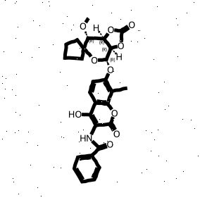 CO[C@@H]1[C@H]2OC(=O)O[C@H]2[C@H](Oc2ccc3c(O)c(NC(=O)c4ccccc4)c(=O)oc3c2C)OC12CCCC2